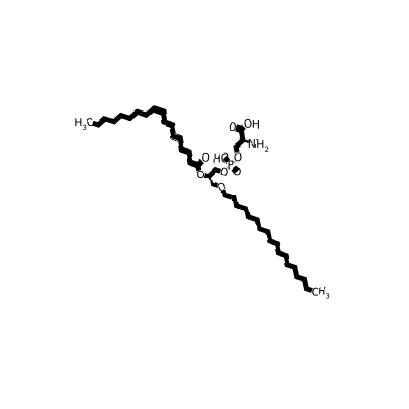 CCCCCCCC/C=C\CCCCCCCC(=O)O[C@H](COCCCCCCCCCCCCCCCCCC)COP(=O)(O)OC[C@H](N)C(=O)O